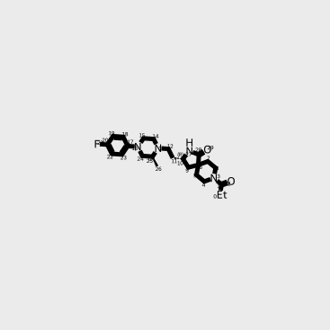 CCC(=O)N1CCC2(CC1)C[C@H](CCN1CCN(c3ccc(F)cc3)C[C@@H]1C)NC2=O